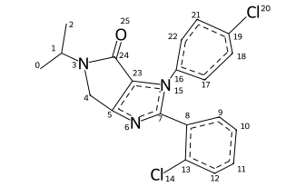 CC(C)N1Cc2nc(-c3ccccc3Cl)n(-c3ccc(Cl)cc3)c2C1=O